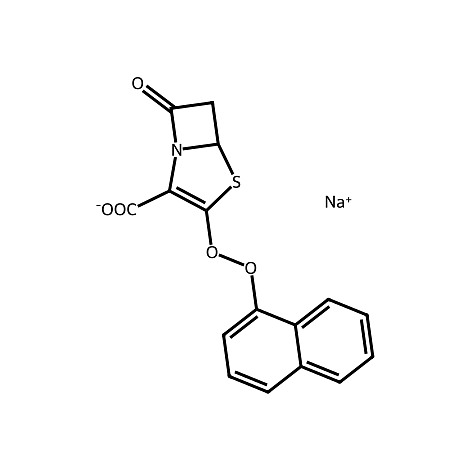 O=C([O-])C1=C(OOc2cccc3ccccc23)SC2CC(=O)N12.[Na+]